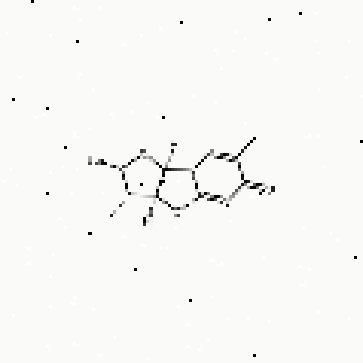 CC[C@H]1O[C@@H]2[C@@H](Oc3nc(=O)c(C)cn32)[C@@H]1C